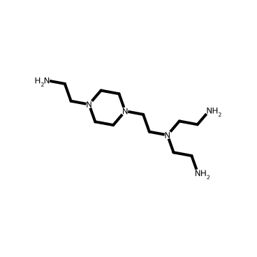 NCCN(CCN)CCN1CCN(CCN)CC1